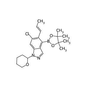 CC=Cc1c(Cl)cc2c(cnn2C2CCCCO2)c1B1OC(C)(C)C(C)(C)O1